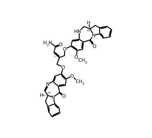 COc1cc2c(cc1OC/C(=C/C(N)=O)COc1cc3c(cc1OC)C(=O)N1c4ccccc4C[C@H]1CN3)N=C[C@@H]1Cc3ccccc3N1C2=O